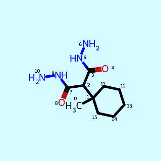 CC1(C(C(=O)NN)C(=O)NN)CCCCC1